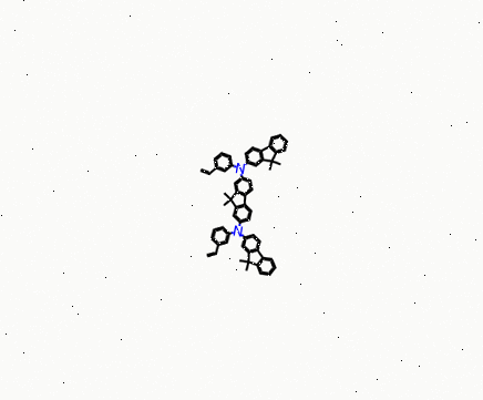 C=Cc1cccc(N(c2ccc3c(c2)C(C)(C)c2ccccc2-3)c2ccc3c(c2)C(C)(C)c2cc(N(c4cccc(C=C)c4)c4ccc5c(c4)C(C)(C)c4ccccc4-5)ccc2-3)c1